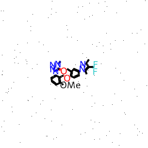 COc1cccc(-n2nnn(C)c2=O)c1COc1ccc(-n2nc(C)c(C(F)F)c2C)cc1C